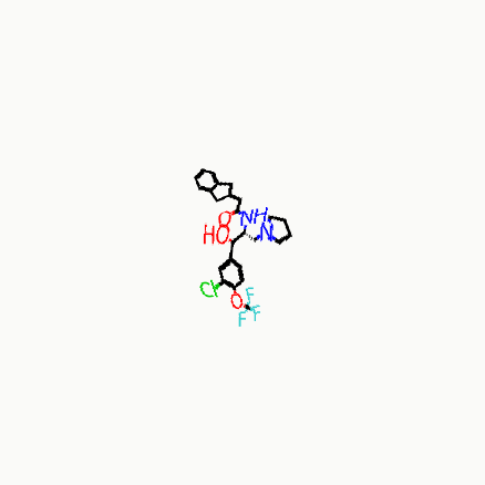 O=C(CC1Cc2ccccc2C1)N[C@H](CN1CCCC1)[C@H](O)c1ccc(OC(F)(F)F)c(Cl)c1